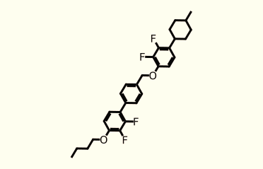 CCCCOc1ccc(-c2ccc(COc3ccc(C4CCC(C)CC4)c(F)c3F)cc2)c(F)c1F